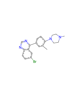 Cc1cc(-c2ncnc3ccc(Br)cc23)ccc1N1CCN(C)CC1